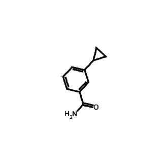 NC(=O)c1c[c]cc(C2CC2)c1